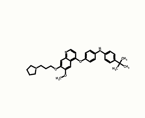 COc1cc2c(Oc3ccc(Nc4ccc(C(C)(C)C)cc4)cc3)ccnc2cc1OCCCN1CCCC1